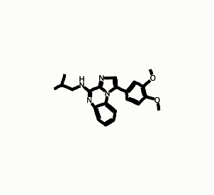 COc1ccc(-c2cnc3c(NCC(C)C)nc4ccccc4n23)cc1OC